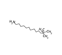 C[Si](C)(C)CCCCCCCCCCCN